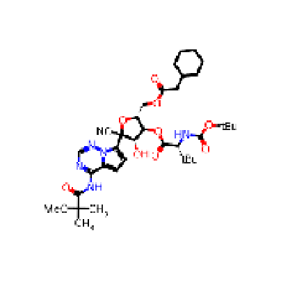 COC(C)(C)C(=O)Nc1ncnn2c([C@]3(C#N)O[C@H](COC(=O)CC4CCCCC4)[C@@H](OC(=O)[C@H](NC(=O)OC(C)(C)C)C(C)(C)C)[C@H]3O)ccc12